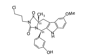 COc1ccc2[nH]c3c(c2c1)C[C@@]1(C)C(=O)N(CCCCl)C(=O)N1[C@@H]3c1cccc(O)c1